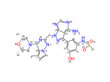 Cc1ccn2nc(Cn3nc(-c4cc(O)cc(NS(C)(=O)=O)c4)c4c(N)ncnc43)nc(N3C[C@@H](C)O[C@@H](C)C3)c12